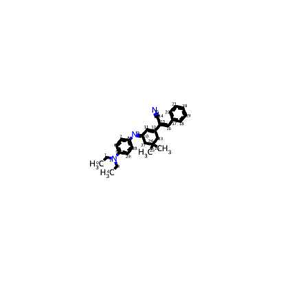 CCN(CC)c1ccc(/N=C2C=C(/C(C#N)=C/c3ccccc3)CC(C)(C)C/2)cc1